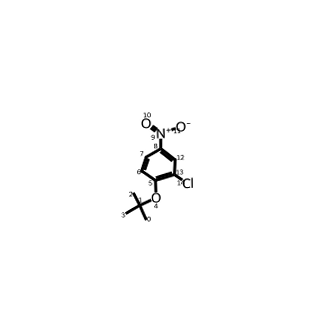 CC(C)(C)Oc1ccc([N+](=O)[O-])cc1Cl